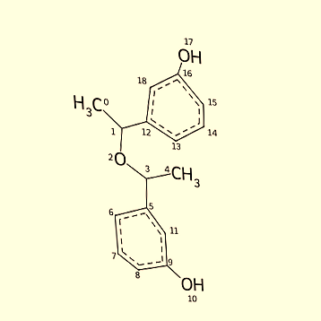 CC(OC(C)c1cccc(O)c1)c1cccc(O)c1